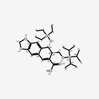 CC[Si](CC)(CC)O[C@H]1c2cc3c(cc2C=C(C(=O)O)[C@@H]1CO[Si](C(C)C)(C(C)C)C(C)C)OCO3